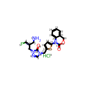 Cl.NC/C(=C/F)Cn1ncn(Cc2ccc(N3C(=O)OCc4ccccc43)s2)c1=O